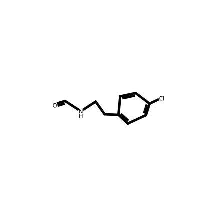 O=[C]NCCc1ccc(Cl)cc1